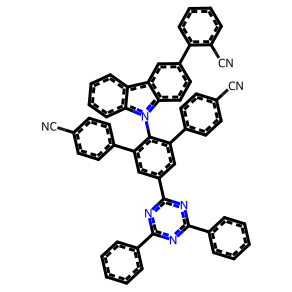 N#Cc1ccc(-c2cc(-c3nc(-c4ccccc4)nc(-c4ccccc4)n3)cc(-c3ccc(C#N)cc3)c2-n2c3ccccc3c3cc(-c4ccccc4C#N)ccc32)cc1